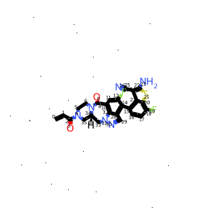 C=CC(=O)N1CCN2C(=O)c3cc(F)c(-c4ccc(F)c5sc(N)c(C#N)c45)c4cnn(c34)C[C@@H]2C1